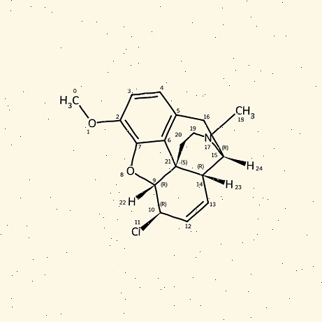 COc1ccc2c3c1O[C@H]1[C@H](Cl)C=C[C@H]4[C@@H](C2)N(C)CC[C@@]341